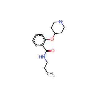 CCCNC(=O)c1ccccc1OC1CC[N]CC1